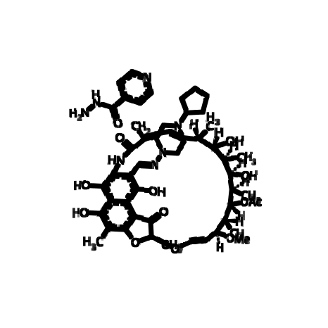 CO[C@H]1/C=C/O[C@@]2(C)Oc3c(C)c(O)c4c(O)c(c(/C=N/N5CCN(C6CCCC6)CC5)c(O)c4c3C2=O)NC(=O)/C(C)=C\C=C\[C@H](C)[C@H](O)[C@@H](C)[C@@H](O)[C@@H](C)[C@H](OC(C)=O)[C@@H]1C.NNC(=O)c1ccncc1